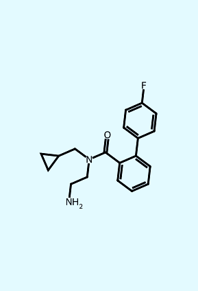 NCCN(CC1CC1)C(=O)c1ccccc1-c1ccc(F)cc1